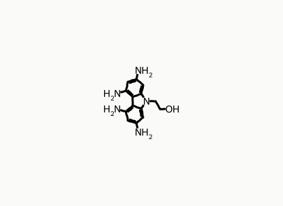 Nc1cc(N)c2c3c(N)cc(N)cc3n(CCO)c2c1